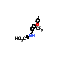 C[C@H]1CC[C@@H](Oc2ccc3ccc(CCN[C@H]4C[C@@H](C(=O)O)C4)cc3c2C(F)(F)F)CC1